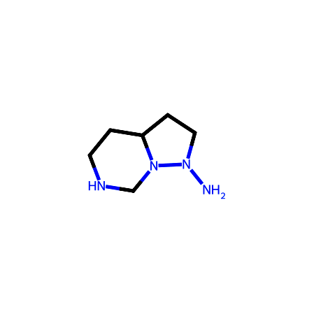 NN1CCC2CCNCN21